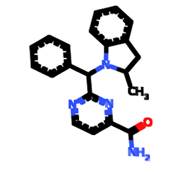 CC1Cc2ccccc2N1C(c1ccccc1)c1nccc(C(N)=O)n1